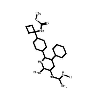 CCCCCCC1NC(C2CCC(C3(NC(=O)OC(C)(C)C)CCC3)CC2)C(C2CCCCC2)CC1NC(N)NCC